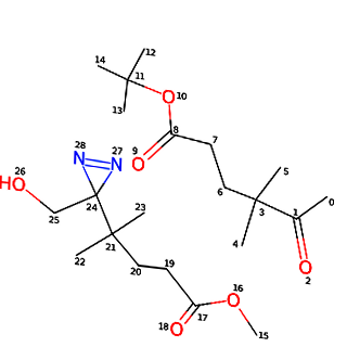 CC(=O)C(C)(C)CCC(=O)OC(C)(C)C.COC(=O)CCC(C)(C)C1(CO)N=N1